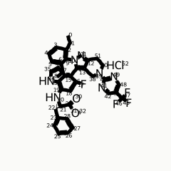 CCc1cccc(CC)c1-n1nc2c(c1-c1c(F)cc(N[C@@H](Cc3ccccc3)C(=O)OC)c3[nH]ccc13)CN(c1ncc(C(F)(F)F)cn1)CC2.Cl